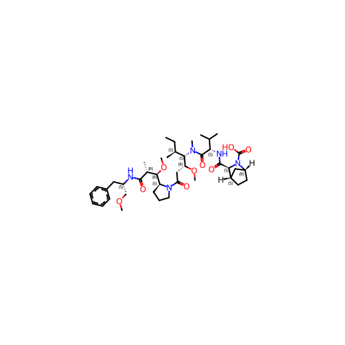 CC[C@H](C)[C@@H]([C@@H](CC(=O)N1CCC[C@H]1[C@H](OC)[C@@H](C)C(=O)N[C@H](COC)Cc1ccccc1)OC)N(C)C(=O)[C@@H](NC(=O)[C@@H]1[C@H]2CC[C@H](C2)N1C(=O)O)C(C)C